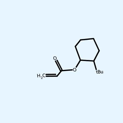 C=CC(=O)OC1CCCCC1C(C)(C)C